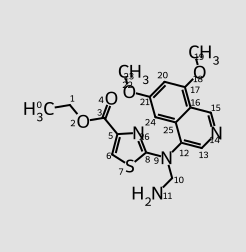 CCOC(=O)c1csc(N(CN)c2cncc3c(OC)cc(OC)cc23)n1